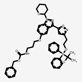 CC(C)(C)[Si](OCCc1cc(-c2nn(C3CCCCO3)c3ccc(OCCCNC(=O)OCc4ccccc4)cc23)on1)(c1ccccc1)c1ccccc1